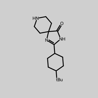 CC(C)(C)C1CCC(C2=NC3(CCNCC3)C(=O)N2)CC1